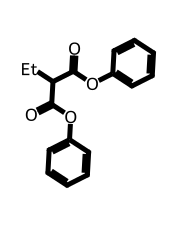 CCC(C(=O)Oc1ccccc1)C(=O)Oc1ccccc1